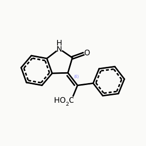 O=C(O)/C(=C1/C(=O)Nc2ccccc21)c1ccccc1